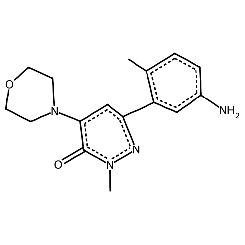 Cc1ccc(N)cc1-c1cc(N2CCOCC2)c(=O)n(C)n1